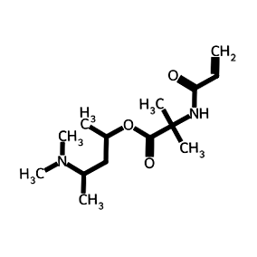 C=CC(=O)NC(C)(C)C(=O)OC(C)CC(C)N(C)C